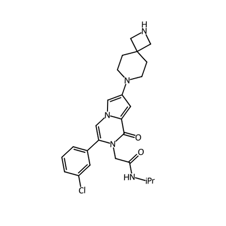 CC(C)NC(=O)Cn1c(-c2cccc(Cl)c2)cn2cc(N3CCC4(CC3)CNC4)cc2c1=O